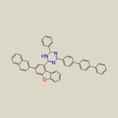 c1ccc(-c2ccc(-c3ccc(C4=NC(c5ccccc5)NC(c5cc(-c6ccc7ccccc7c6)cc6oc7ccccc7c56)=N4)cc3)cc2)cc1